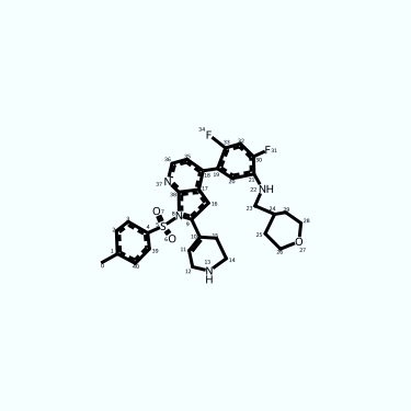 Cc1ccc(S(=O)(=O)n2c(C3=CCNCC3)cc3c(-c4cc(NCC5CCOCC5)c(F)cc4F)ccnc32)cc1